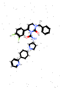 C[C@H](c1ccccc1)N1CC=C(c2ccc(F)c(F)c2)N(C(=O)N[C@@H]2CCN([C@H]3CC[C@H](c4ccccn4)CC3)C2)C1=O